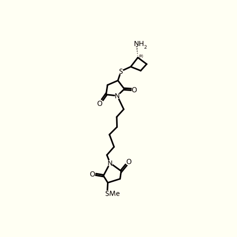 CSC1CC(=O)N(CCCCCCN2C(=O)CC(SC3CC[C@H]3N)C2=O)C1=O